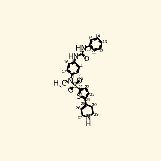 CN(c1ccc(NC(=O)Nc2ccccc2)cc1)S(=O)(=O)c1ccc(C2=CCNCC2)s1